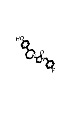 O=C1C(N2CCCC(c3ccc(O)cc3)CC2)CCN1Cc1ccc(F)cc1